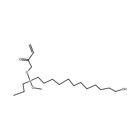 C=CC(=O)CO[Si](CCC)(CCCCCCCCCCCCO)OC